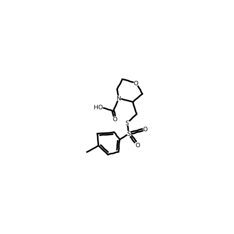 Cc1ccc(S(=O)(=O)SCC2COCCN2C(=O)O)cc1